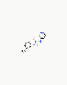 O=C(Nc1cccnc1)Nc1cccc([N+](=O)[O-])c1